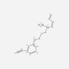 C=C/C=C\N(N)CCCOc1cccc(C#N)c1